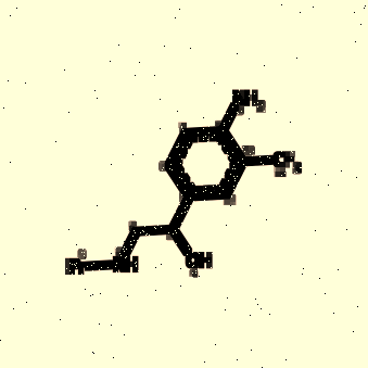 CC(C)NCC(O)c1ccc(N)c(C(F)(F)F)c1